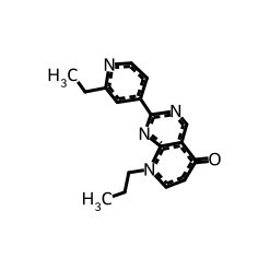 CCCn1ccc(=O)c2cnc(-c3ccnc(CC)c3)nc21